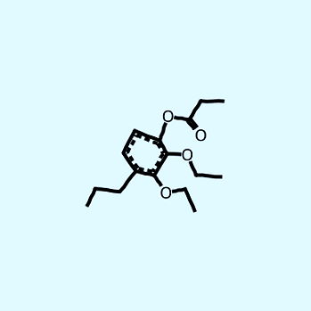 CCCc1ccc(OC(=O)CC)c(OCC)c1OCC